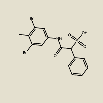 Cc1c(Br)cc(NC(=O)C(c2ccccc2)S(=O)(=O)O)cc1Br